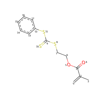 C=C(C)C(=O)OCCSC(=S)Sc1ccccc1